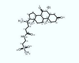 CC[C@H]1C(=O)C2C(CC[C@@]3(C)C2CC[C@@H]3[C@H](C)CCC(=O)NCCS(C)(=O)=O)[C@@]2(C)CCC(=O)CC12